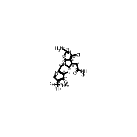 [2H]C([2H])([2H])c1cnc(CN2CC(CC(=O)NC)c3c(Cl)nc(N)nc32)c(C)c1OC